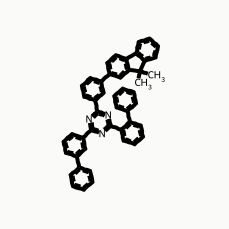 CC1(C)c2ccccc2-c2ccc(-c3cccc(-c4nc(-c5cccc(-c6ccccc6)c5)nc(-c5ccccc5-c5ccccc5)n4)c3)cc21